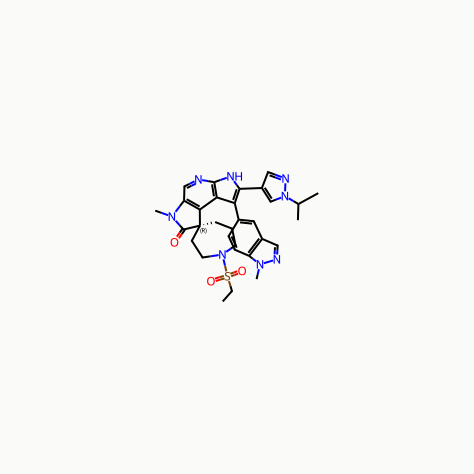 CCS(=O)(=O)N1CCC[C@]2(CC1)C(=O)N(C)c1cnc3[nH]c(-c4cnn(C(C)C)c4)c(-c4ccc5c(cnn5C)c4)c3c12